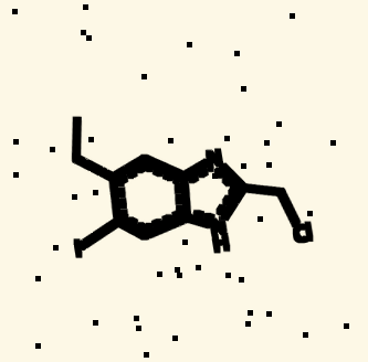 CCc1cc2nc(CCl)[nH]c2cc1I